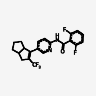 O=C(Nc1ccc(C2=C(C(F)(F)F)CC3CCCC23)cn1)c1c(F)cccc1F